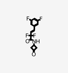 O=C1CC(NC(=O)C(F)(F)/C=C/c2cc(F)cc(F)c2)C1